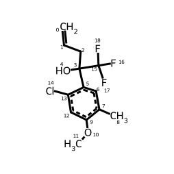 C=CCC(O)(c1cc(C)c(OC)cc1Cl)C(F)(F)F